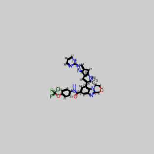 C[C@@H]1COCc2nc3cc(C(=O)Nc4ccc(OC(F)(F)Cl)cc4)cc(-c4cnc5c(c4)-c4nn(-c6ncccn6)cc4C5)c3n21